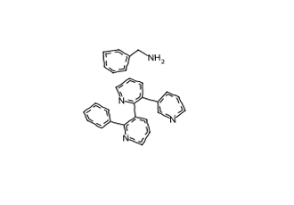 NCc1ccccc1.c1ccc(-c2ncccc2-c2ncccc2-c2cccnc2)cc1